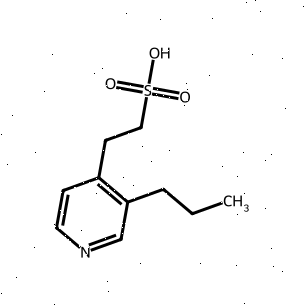 CCCc1cnccc1CCS(=O)(=O)O